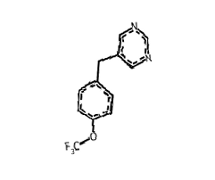 FC(F)(F)Oc1ccc(Cc2cncnc2)cc1